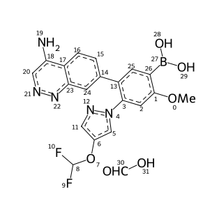 COc1cc(-n2cc(OC(F)F)cn2)c(-c2ccc3c(N)cnnc3c2)cc1B(O)O.O=CO